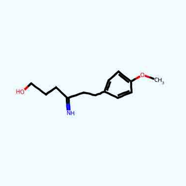 COc1ccc(CCC(=N)[CH]CCO)cc1